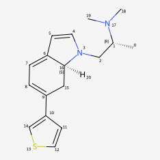 C[C@H](CN1C=CC2=CC=C(c3ccsc3)C[C@@H]21)N(C)C